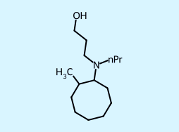 CCCN(CCCO)C1CCCCCCC1C